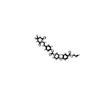 C=CCOC(=O)c1ccc(OC2CCN(C(=O)Oc3ccc(CCN4C(=O)CC(C)(C)CC4=O)cc3)CC2)cc1